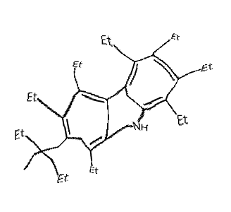 CCc1c(CC)c(CC)c2c([nH]c3c(CC)c(C(C)(CC)CC)c(CC)c(CC)c32)c1CC